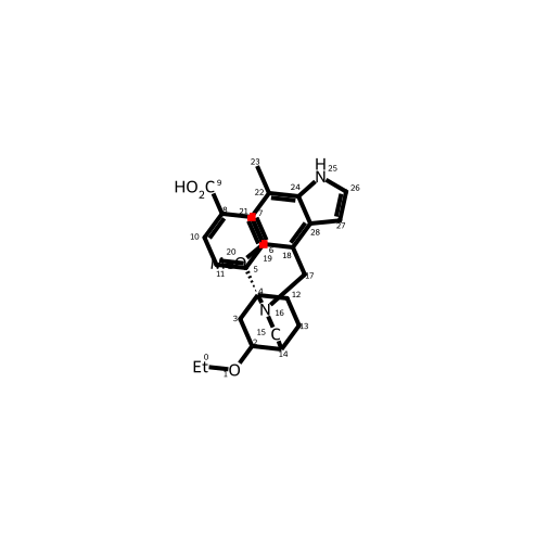 CCOC1C[C@@]2(c3ccc(C(=O)O)cc3)CCC1CN2Cc1c(OC)cc(C)c2[nH]ccc12